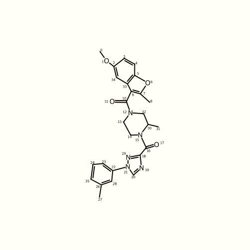 COc1ccc2oc(C)c(C(=O)N3CCN(C(=O)c4ncn(-c5cccc(C)c5)n4)C(C)C3)c2c1